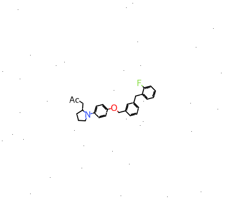 CC(=O)CC1CCCN1c1ccc(OCc2cccc(Cc3ccccc3F)c2)cc1